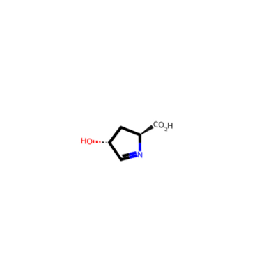 O=C(O)[C@@H]1C[C@@H](O)C=N1